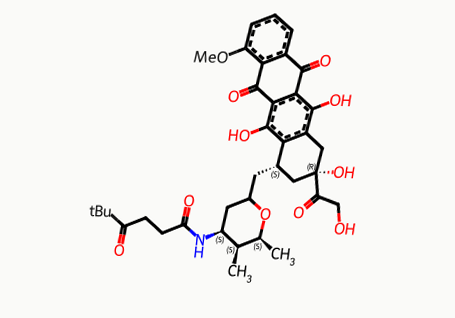 COc1cccc2c1C(=O)c1c(O)c3c(c(O)c1C2=O)C[C@@](O)(C(=O)CO)C[C@@H]3CC1C[C@H](NC(=O)CCC(=O)C(C)(C)C)[C@H](C)[C@H](C)O1